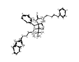 CCCC(=O)C(Cc1ccccc1)(N(N)C(=O)OCCCCc1ccccc1)C(O)(OOCCCc1nc2ccccc2[nH]1)C(C)(C)N